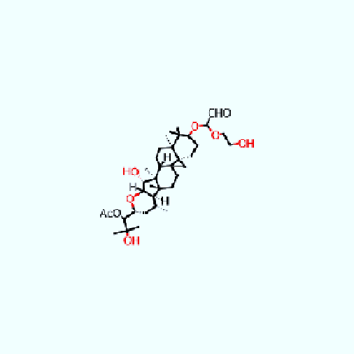 CC(=O)O[C@@H]([C@H]1C[C@@H](C)[C@H]2[C@H](O1)[C@H](O)[C@@]1(C)[C@@H]3CC[C@@]4(C)C(C)(C)[C@@H](O[C@@H](C=O)OCCO)CC[C@@]45C[C@@]35CC[C@]21C)C(C)(C)O